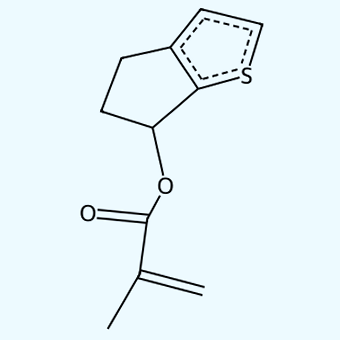 C=C(C)C(=O)OC1CCc2ccsc21